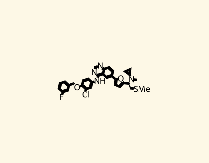 CSC[C@@H](c1ccc(-c2ccc3ncnc(Nc4ccc(OCc5cccc(F)c5)c(Cl)c4)c3c2)o1)N(C)C1CC1